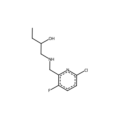 CCC(O)CNCc1nc(Cl)ccc1F